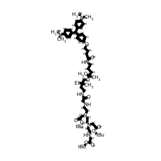 CCC(C)(CCNC(=O)CNCCN(CCN(CCNCC(=O)OC(C)(C)C)CC(=O)OC(C)(C)C)CC(=O)OC(C)(C)C)COC(C)(C)CCCNC(=O)CCCOc1ccc(C(c2ccc(N(C)C)cc2)c2ccc(N(C)C)cc2)cc1